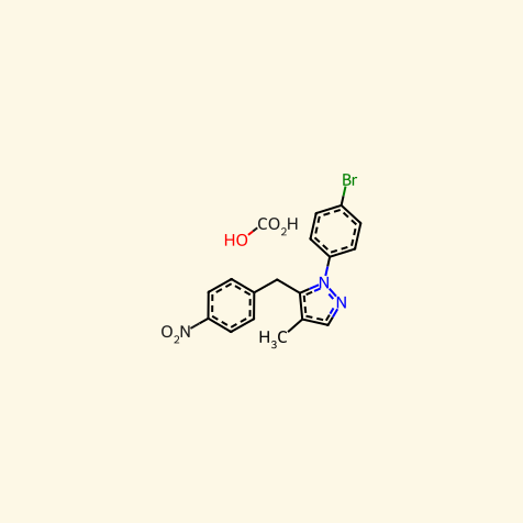 Cc1cnn(-c2ccc(Br)cc2)c1Cc1ccc([N+](=O)[O-])cc1.O=C(O)O